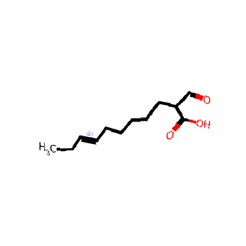 CC/C=C/CCCCCC(C=O)C(=O)O